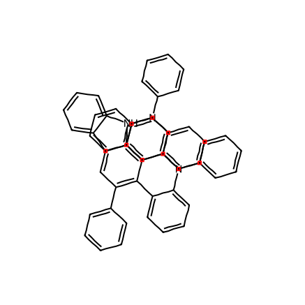 c1ccc(-c2cc3c([nH]c4ccccc43)c(-c3ccccc3N(c3ccccc3)c3ccccc3)c2-c2ccccc2N(c2ccccc2)c2ccccc2)cc1